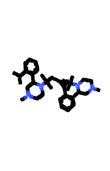 CC(C)c1ccccc1C1CN(C)CCN1C(C)(C)CC1CC1c1ccccc1C1CN(C)CCN1C(C)(C)C